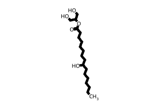 CCCCCCCC(O)CCCCCCCC(=O)OC(CO)CO